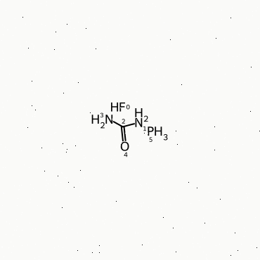 F.NC(N)=O.P